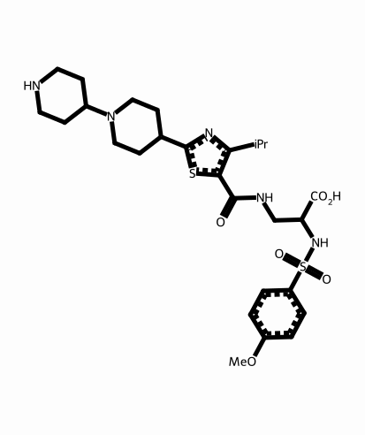 COc1ccc(S(=O)(=O)NC(CNC(=O)c2sc(C3CCN(C4CCNCC4)CC3)nc2C(C)C)C(=O)O)cc1